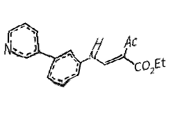 CCOC(=O)C(=CNc1cccc(-c2cccnc2)c1)C(C)=O